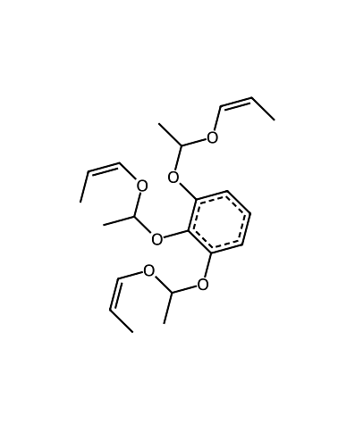 C/C=C\OC(C)Oc1cccc(OC(C)O/C=C\C)c1OC(C)O/C=C\C